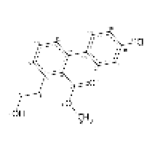 COC(=O)c1c(CCO)cccc1-c1ccc(Cl)cc1